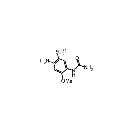 COc1cc(N)c(S(=O)(=O)O)cc1NC(N)=O